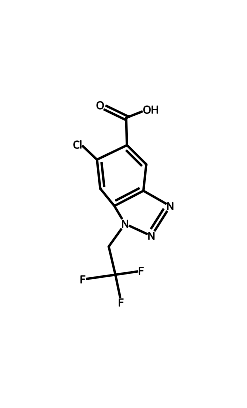 O=C(O)c1cc2nnn(CC(F)(F)F)c2cc1Cl